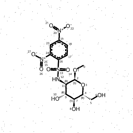 CO[C@H]1O[C@H](CO)[C@@H](O)[C@H](O)[C@H]1NS(=O)(=O)c1ccc([N+](=O)[O-])cc1[N+](=O)[O-]